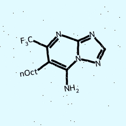 CCCCCCCCc1c(C(F)(F)F)nc2ncnn2c1N